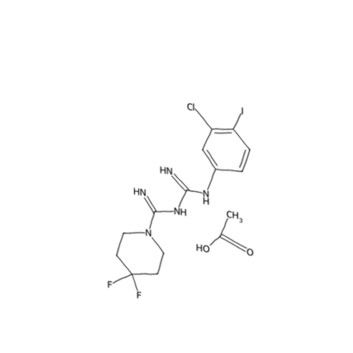 CC(=O)O.N=C(NC(=N)N1CCC(F)(F)CC1)Nc1ccc(I)c(Cl)c1